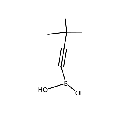 CC(C)(C)C#CB(O)O